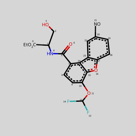 CCOC(=O)C(CO)NC(=O)c1ccc(OC(F)F)c2oc3ccc(N=O)cc3c12